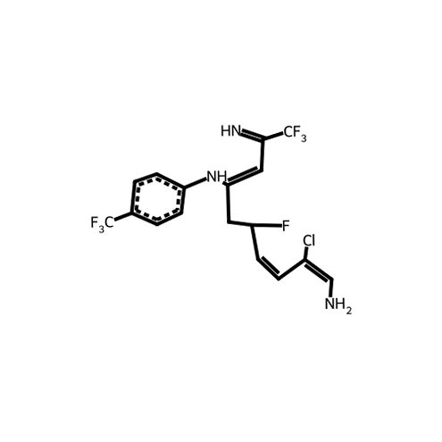 N=C(/C=C(/CC(F)/C=C\C(Cl)=C/N)Nc1ccc(C(F)(F)F)cc1)C(F)(F)F